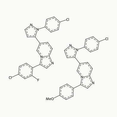 COc1ccc(-c2cnc3ccc(-c4ccnn4-c4ccc(Cl)cc4)cn23)cc1.Fc1cc(Cl)ccc1-c1cnc2ccc(-c3ccnn3-c3ccc(Cl)cc3)cn12